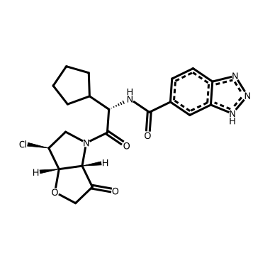 O=C(N[C@H](C(=O)N1C[C@H](Cl)[C@H]2OCC(=O)[C@H]21)C1CCCC1)c1ccc2nn[nH]c2c1